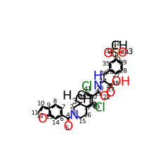 C=C1CN(C(=O)c2ccc3ccoc3c2)CC/C1=C(Cl)/C(C(=O)N[C@@H](Cc1cccc(S(C)(=O)=O)c1)C(=O)O)=C(\C)Cl